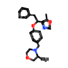 Cc1ocnc1C(Cc1ccccc1)Oc1ccc(CN2CCOCC2C(=O)O)cc1